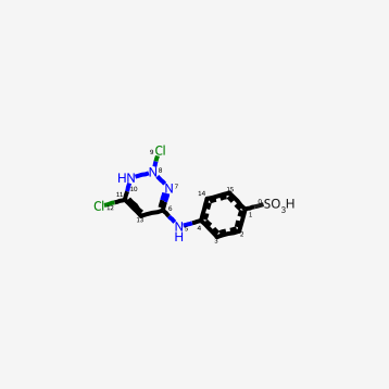 O=S(=O)(O)c1ccc(NC2=NN(Cl)NC(Cl)=C2)cc1